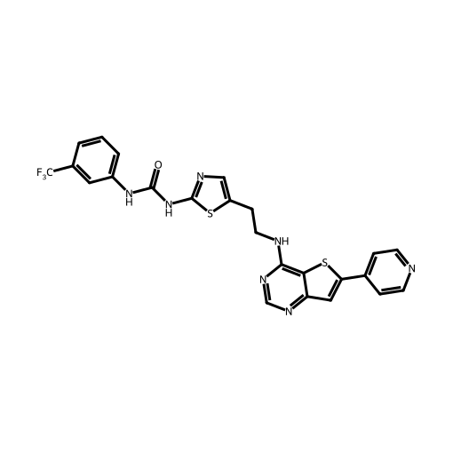 O=C(Nc1cccc(C(F)(F)F)c1)Nc1ncc(CCNc2ncnc3cc(-c4ccncc4)sc23)s1